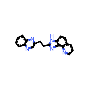 c1cnc2c(c1)ccc1[nH]c(CCc3cnc4ccccc4n3)nc12